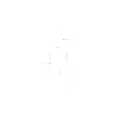 COC(=O)C1(C)C=C(I)C(O[Si](C)(C)C)C(C)(C)C1